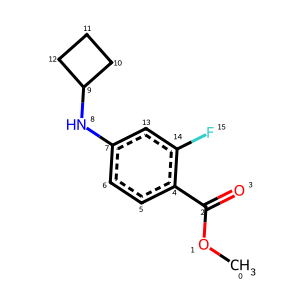 COC(=O)c1ccc(NC2CCC2)cc1F